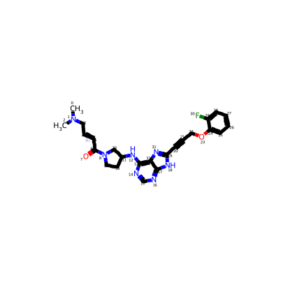 CN(C)C/C=C/C(=O)N1CCC(Nc2ncnc3[nH]c(C#CCOc4ccccc4F)nc23)C1